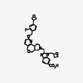 O=C(O)c1ccc2nc(CN3CCC4=C(COCc5ccc(OCc6ccc(C7COC7)cc6F)nc54)C3)n(CC3CCO3)c2c1